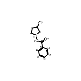 O=C(ON1CCC(Cl)C1)c1ccccc1